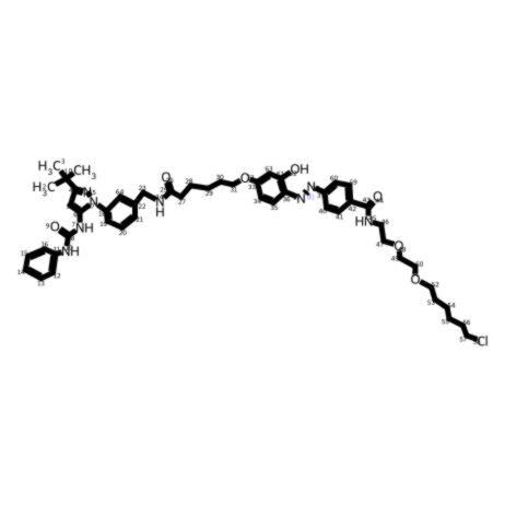 CC(C)(C)c1cc(NC(=O)Nc2ccccc2)n(-c2cccc(CNC(=O)CCCCCOc3ccc(/N=N/c4ccc(C(=O)NCCOCCOCCCCCCCl)cc4)c(O)c3)c2)n1